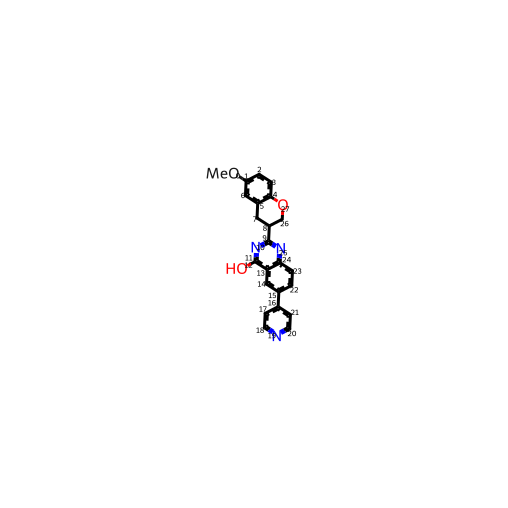 COc1ccc2c(c1)CC(c1nc(O)c3cc(-c4ccncc4)ccc3n1)CO2